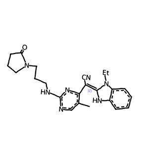 CCN1/C(=C(\C#N)c2nc(NCCCN3CCCC3=O)ncc2C)Nc2ccccc21